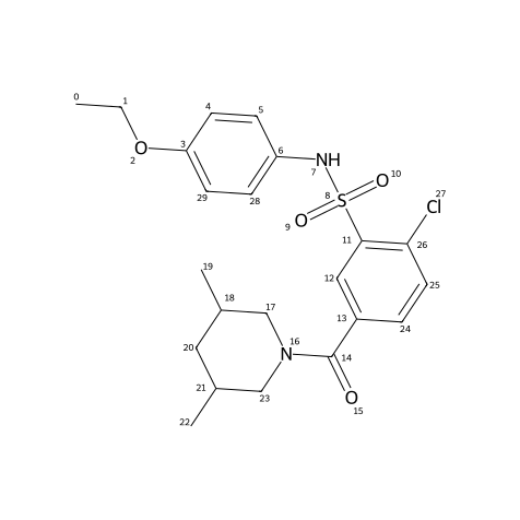 CCOc1ccc(NS(=O)(=O)c2cc(C(=O)N3CC(C)CC(C)C3)ccc2Cl)cc1